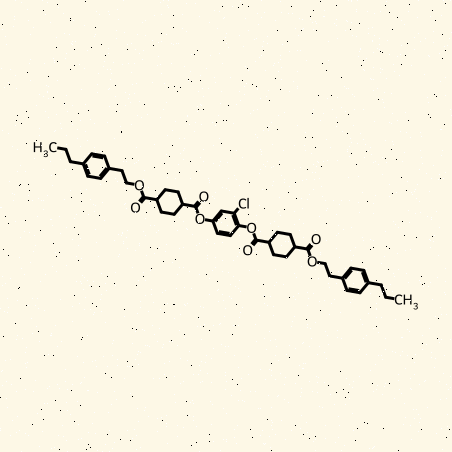 CCCc1ccc(CCOC(=O)C2CCC(C(=O)Oc3ccc(OC(=O)C4CCC(C(=O)OCCc5ccc(CCC)cc5)CC4)c(Cl)c3)CC2)cc1